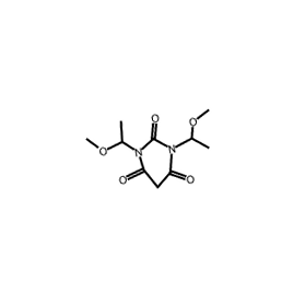 COC(C)N1C(=O)CC(=O)N(C(C)OC)C1=O